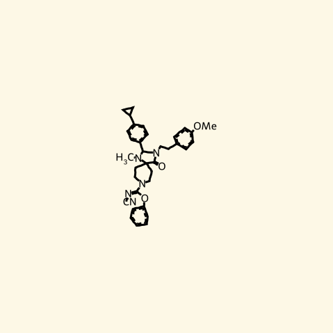 COc1ccc(CCN2C(=O)C3(CCN(C(=NC#N)Oc4ccccc4)CC3)N(C)C2c2ccc(C3CC3)cc2)cc1